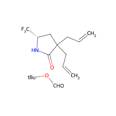 C=CCC1(CC=C)C[C@@H](C(F)(F)F)NC1=O.CC(C)(C)OC=O